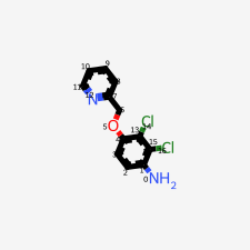 Nc1ccc(OCc2ccccn2)c(Cl)c1Cl